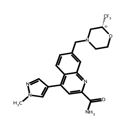 Cn1cc(-c2cc(C(N)=O)nc3cc(CN4CCO[C@@H](C(F)(F)F)C4)ccc23)cn1